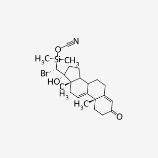 C[C@]12CCC(=O)C=C1CCC1C2=CC[C@@]2(C)C1CC[C@]2(O)[C@H](Br)[Si](C)(C)OC#N